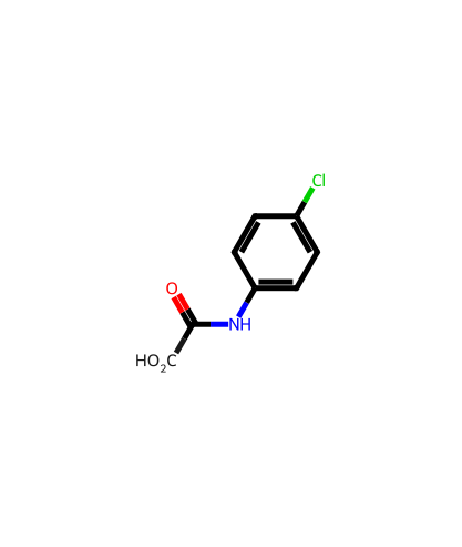 O=C(O)C(=O)Nc1ccc(Cl)cc1